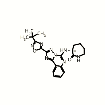 CC(C)(C)c1noc(-c2nc3c4ccccc4nc(N[C@@H]4CCCCNC4=O)n3n2)n1